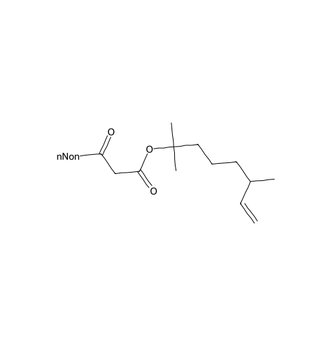 C=CC(C)CCCC(C)(C)OC(=O)CC(=O)CCCCCCCCC